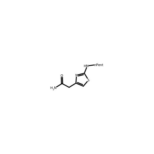 CCCCCNc1nc(CC(N)=O)cs1